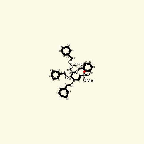 COP(C)(=O)/C=C/[C@@H](OCc1ccccc1)[C@@H](OCc1ccccc1)[C@@H](CN(C=O)OCc1ccccc1)OCc1ccccc1